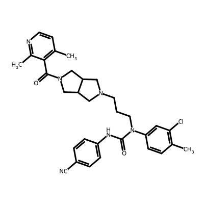 Cc1ccc(N(CCCN2CC3CN(C(=O)c4c(C)ccnc4C)CC3C2)C(=O)Nc2ccc(C#N)cc2)cc1Cl